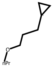 CCCOCCC[C]1CC1